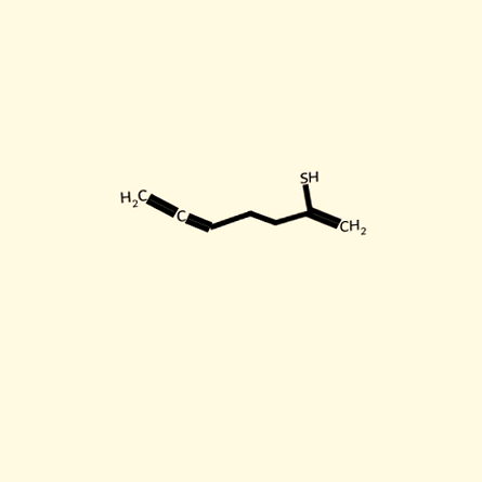 C=C=CCCC(=C)S